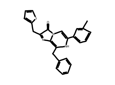 Cc1cccc(-c2cn3c(=O)c(Cc4cccs4)nc-3c(Cc3ccccc3)[nH]2)c1